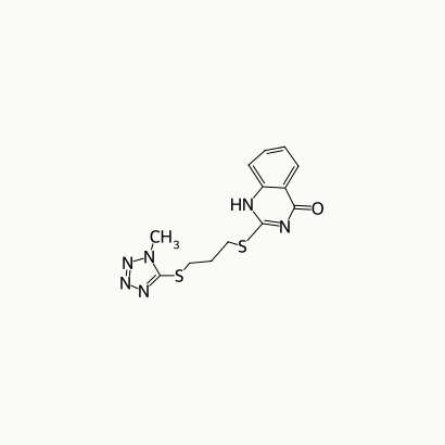 Cn1nnnc1SCCCSc1nc(=O)c2ccccc2[nH]1